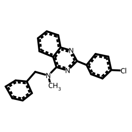 CN(Cc1ccccc1)c1nc(-c2ccc(Cl)cc2)nc2ccccc12